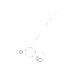 CN1C(=O)[C@@H](Cc2ccc(O)cc2)NC(=O)CNC(=O)[C@H](Cc2ccc3ccccc3c2)NC(=O)[C@H](CCCNC(=N)N)NC(=O)[C@H]1CCCNC(=O)CCCCNC(=O)CCCCNC(=O)CNCCNCC(=O)O